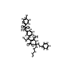 CCCCCC1(CCc2ccccc2)CC(O)=C(C(CC)c2cccc(NS(=O)(=O)c3ccc(C)cn3)c2)C(=O)O1